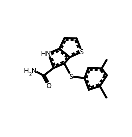 Cc1cc(C)cc(Sc2c(C(N)=O)[nH]c3ccsc23)c1